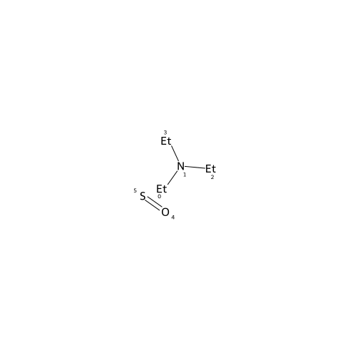 CCN(CC)CC.O=S